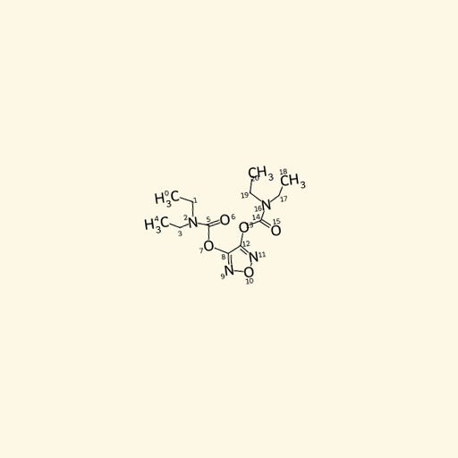 CCN(CC)C(=O)Oc1nonc1OC(=O)N(CC)CC